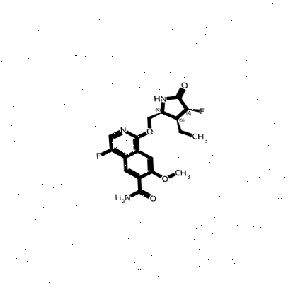 CC[C@@H]1[C@H](F)C(=O)N[C@@H]1COc1ncc(F)c2cc(C(N)=O)c(OC)cc12